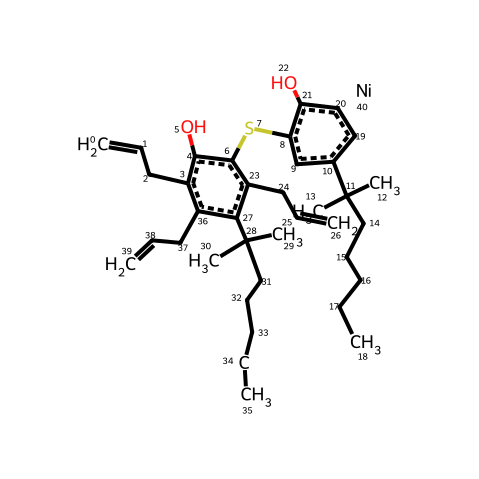 C=CCc1c(O)c(Sc2cc(C(C)(C)CCCCC)ccc2O)c(CC=C)c(C(C)(C)CCCCC)c1CC=C.[Ni]